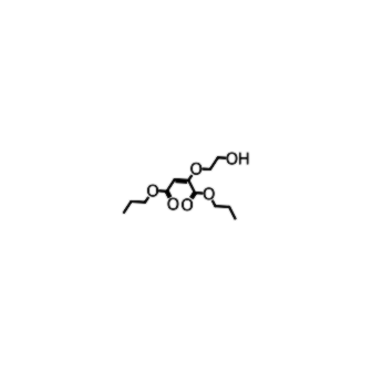 CCCOC(=O)/C=C(/OCCO)C(=O)OCCC